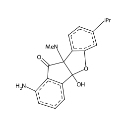 CNC12C(=O)c3c(N)cccc3C1(O)Oc1cc(C(C)C)ccc12